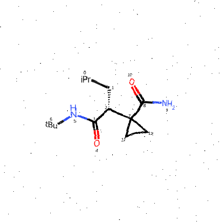 CC(C)C[C@@H](C(=O)NC(C)(C)C)C1(C(N)=O)CC1